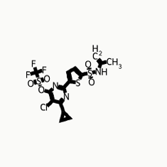 C=C(C)NS(=O)(=O)c1ccc(-c2nc(OS(=O)(=O)C(F)(F)F)c(Cl)c(C3CC3)n2)s1